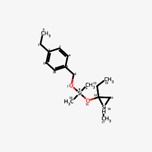 CCc1ccc(CO[Si](C)(C)OC2(CC)C[SiH]2C)cc1